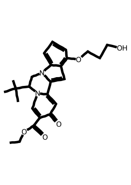 CCOC(=O)c1cn2c(cc1=O)-c1cc3c(OCCCO)cccc3n1CC2C(C)(C)C